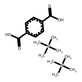 C[N+](C)(C)C.C[N+](C)(C)C.O=C(O)c1ccc(C(=O)O)cc1